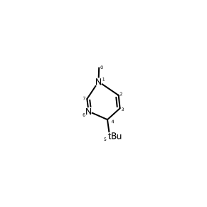 CN1C=CC(C(C)(C)C)N=C1